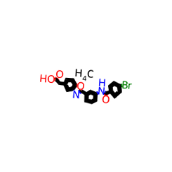 C.O=C(O)Cc1ccc2oc(-c3cccc(NC(=O)c4ccc(Br)cc4)c3)nc2c1